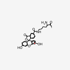 N[C@@H](CCCCNC(=O)c1ccc2c(c1)C(=O)OC21c2ccc(O)cc2Oc2cc(O)ccc21)C(=O)I